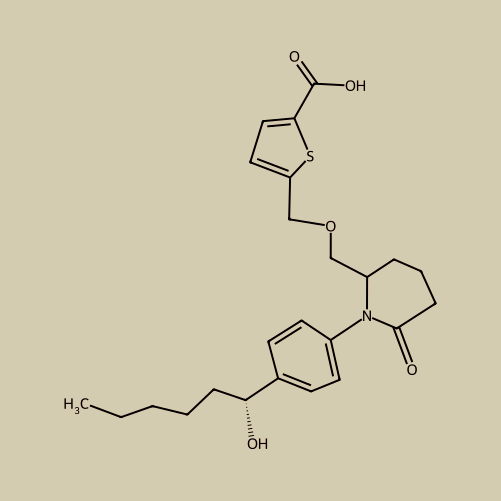 CCCCC[C@@H](O)c1ccc(N2C(=O)CCCC2COCc2ccc(C(=O)O)s2)cc1